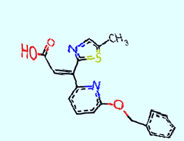 Cc1cnc(/C(=C\C(=O)O)c2cccc(OCc3ccccc3)n2)s1